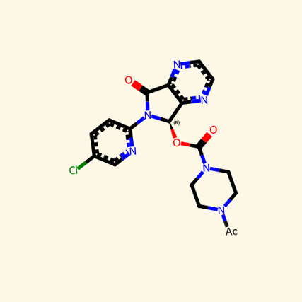 CC(=O)N1CCN(C(=O)O[C@@H]2c3nccnc3C(=O)N2c2ccc(Cl)cn2)CC1